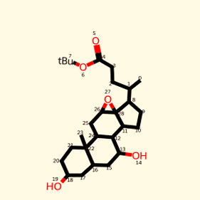 CC(CCC(=O)OC(C)(C)C)C1CCC2C3C(O)CC4CC(O)CCC4(C)C3CC3OC312